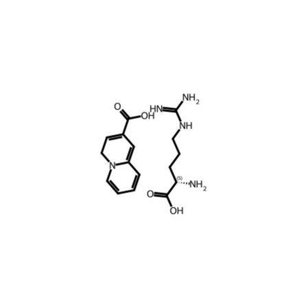 N=C(N)NCCC[C@H](N)C(=O)O.O=C(O)C1=CCN2C=CC=CC2=C1